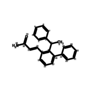 CC(c1ccccc1)c1c(/C=C/C(N)=O)cccc1-c1ccccc1